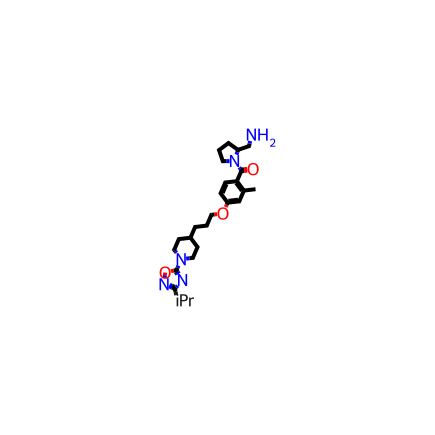 Cc1cc(OCCCC2CCN(c3nc(C(C)C)no3)CC2)ccc1C(=O)N1CCCC1CN